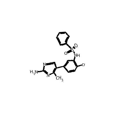 Cc1nc(N)ncc1-c1ccc(Cl)c(NS(=O)(=O)c2ccccc2)c1